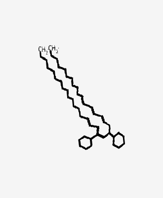 [CH2]CCCCCCCCCCCCCCCCC(CC(CCCCCCCCCCCCCCCC[CH2])C1CCCCC1)C1CCCCC1